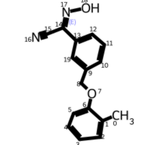 Cc1ccccc1OCc1cccc(/C(C#N)=N\O)c1